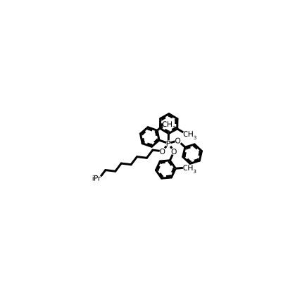 Cc1ccccc1OP(OCCCCCCCC(C)C)(Oc1ccccc1)(c1ccccc1C)c1ccccc1C